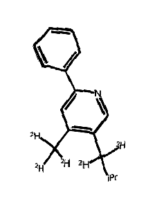 [2H]C([2H])([2H])c1cc(-c2ccccc2)ncc1C([2H])([2H])C(C)C